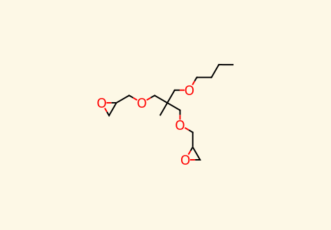 CCCCOCC(C)(COCC1CO1)COCC1CO1